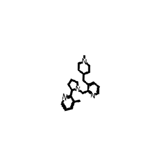 Cc1cccnc1C1CCCN1Cc1ncccc1CC1CCN(C)CC1